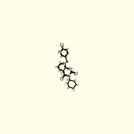 O=c1nc2n(Cc3ccc(Cl)nc3)cccc-2c(=O)n1C1CCCCC1